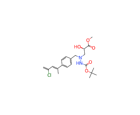 C=C(Cl)/C=C(\C)c1ccc(CN(C[C@@H](O)C(=O)OC)NC(=O)OC(C)(C)C)cc1